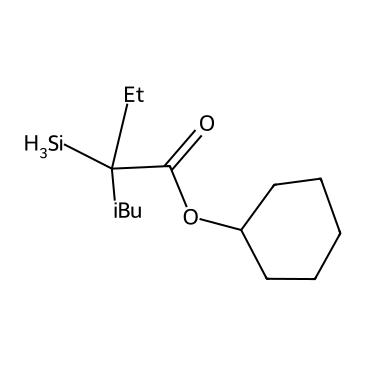 CCC(C)C([SiH3])(CC)C(=O)OC1CCCCC1